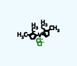 CC1=C(C)[C]([V+2][C]2=CCC(C)=C2C)=CC1.[Cl-].[Cl-]